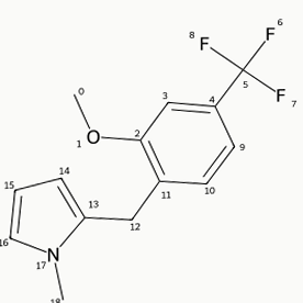 COc1cc(C(F)(F)F)ccc1Cc1cccn1C